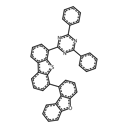 c1ccc(-c2nc(-c3ccccc3)nc(-c3cccc4c3sc3c(-c5cccc6oc7ccccc7c56)cccc34)n2)cc1